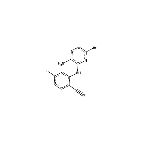 N#Cc1ccc(F)cc1Nc1nc(Br)ccc1N